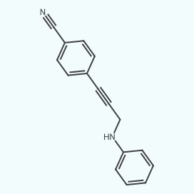 N#Cc1ccc(C#CCNc2ccccc2)cc1